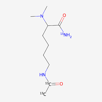 CN(C)C(CCCCN[13C]([13CH3])=O)C([15NH2])=O